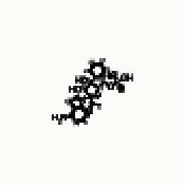 CC(=O)[C@@]1(n2cnc3c(N)ncnc32)O[C@H](COP(=O)(O)O)[C@](O)(c2ccccc2)[C@H]1O